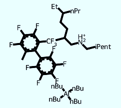 CCCC(C)C[NH2+]CC(C)CCC(CC)CCC.CCC[CH2][Al-]([CH2]CCC)([CH2]CCC)[CH2]CCC.Cc1c(F)c(F)c(F)c(C(F)(F)F)c1-c1c(F)c(F)c(F)c(F)c1F